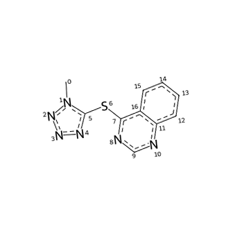 Cn1nnnc1Sc1ncnc2ccccc12